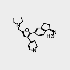 CCN(CC)Cc1cc(-c2ccncc2)c(-c2ccc3c(c2)CC/C3=N/O)o1